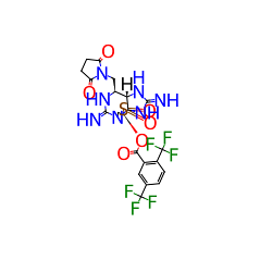 N=C1N[C@H]2[C@H](CN3C(=O)CCC3=O)NC(=N)N3C[C@H](OC(=O)c4cc(C(F)(F)F)ccc4C(F)(F)F)S(=O)(=O)[C@]23N1